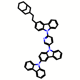 c1ccc2c(c1)c1ccccc1n2-c1ccc2c(c1)c1ccccc1n2-c1ccc(-n2c3ccccc3c3cc(CCC4CC5CCCC(C5)C4)ccc32)nc1